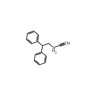 C#C[SiH2]CC(c1ccccc1)c1ccccc1